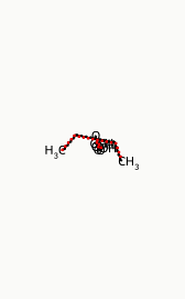 CCCCCCCC/C=C\CCCCCCCC(=O)C(CCCCCC/C=C\CCCCCCCC)C(=O)C(C)S(=O)(=O)P(=O)(O)O